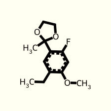 CCc1cc(C2(C)OCCO2)c(F)cc1OC